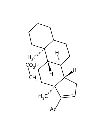 CC(=O)C1=CC[C@H]2[C@@H]3CCC4CCCC[C@]4(C)[C@H]3CC[C@]12C.CC(=O)O